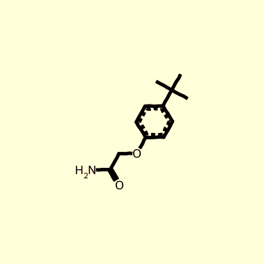 CC(C)(C)c1ccc(OCC(N)=O)cc1